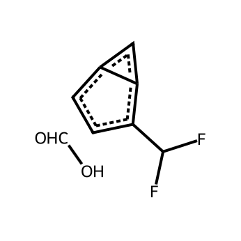 FC(F)c1ccc2cc1-2.O=CO